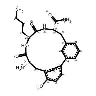 NCCC[C@@H]1NC(=O)[C@@H](N)Cc2cc(ccc2O)-c2cccc(c2)C[C@@H](C(N)=O)NC1=O